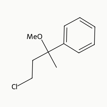 COC(C)(CCCl)c1ccccc1